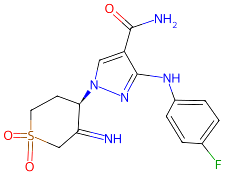 N=C1CS(=O)(=O)CC[C@H]1n1cc(C(N)=O)c(Nc2ccc(F)cc2)n1